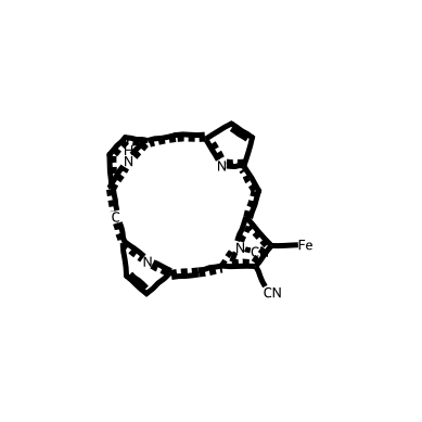 N#Cc1[c]([Fe])c2cc3nc(cc4ccc(cc5nc(cc1n2C#N)C=C5)[nH]4)C=C3